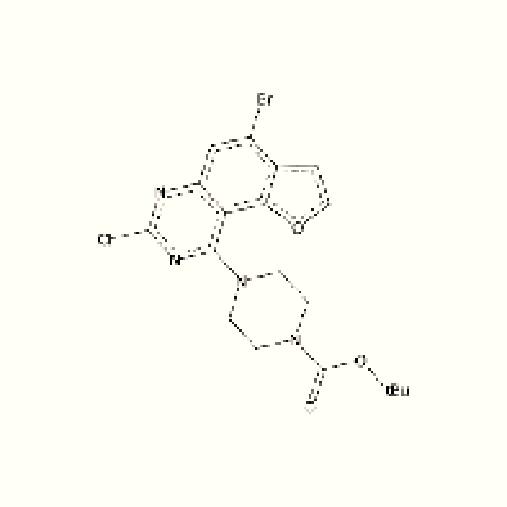 CC(C)(C)OC(=O)N1CCN(c2nc(Cl)nc3cc(Br)c4ccoc4c23)CC1